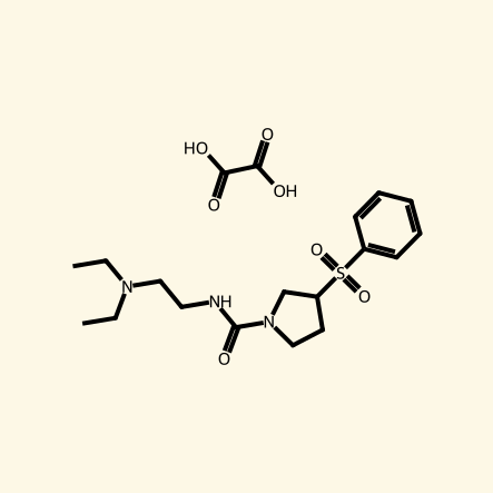 CCN(CC)CCNC(=O)N1CCC(S(=O)(=O)c2ccccc2)C1.O=C(O)C(=O)O